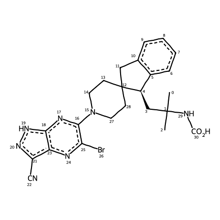 CC(C)(C[C@@H]1c2ccccc2CC12CCN(c1nc3[nH]nc(C#N)c3nc1Br)CC2)NC(=O)O